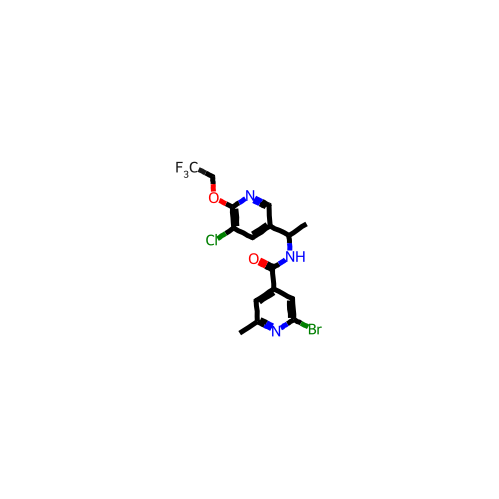 Cc1cc(C(=O)NC(C)c2cnc(OCC(F)(F)F)c(Cl)c2)cc(Br)n1